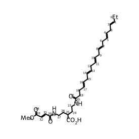 CCC=CCC=CCC=CCC=CCC=CCC=CCCC(=O)NCCC(CCNC(=O)C=CC(=O)OC)C(=O)O